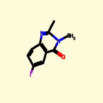 Bn1c(C)nc2ccc(I)cc2c1=O